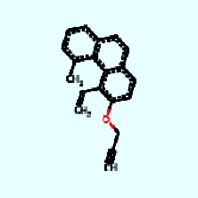 C#CCOc1ccc2ccc3cccc(C)c3c2c1C=C